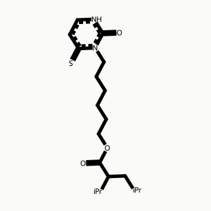 CC(C)CC(C(=O)OCCCCCCn1c(=S)cc[nH]c1=O)C(C)C